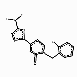 O=c1cc(-c2nnc(C(F)F)o2)ccn1Cc1ccccc1Cl